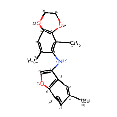 Cc1cc2c(c(C)c1Nc1coc3ccc(C(C)(C)C)cc13)OCCO2